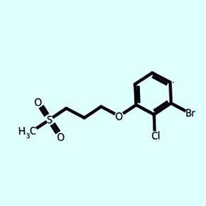 CS(=O)(=O)CCCOc1cc[c]c(Br)c1Cl